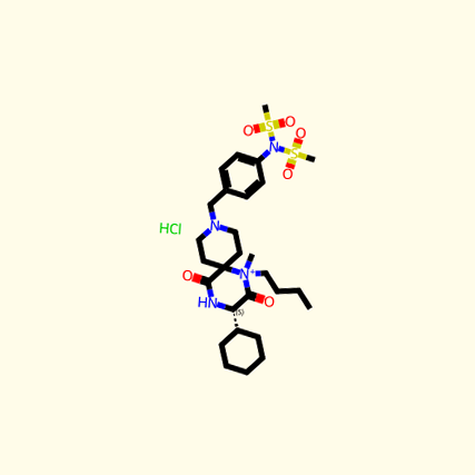 CCCC[N+]1(C)C(=O)[C@H](C2CCCCC2)NC(=O)C12CCN(Cc1ccc(N(S(C)(=O)=O)S(C)(=O)=O)cc1)CC2.Cl